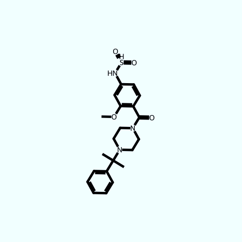 COc1cc(N[SH](=O)=O)ccc1C(=O)N1CCN(C(C)(C)c2ccccc2)CC1